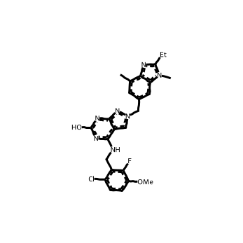 CCc1nc2c(C)cc(Cn3cc4c(NCc5c(Cl)ccc(OC)c5F)nc(O)nc4n3)cc2n1C